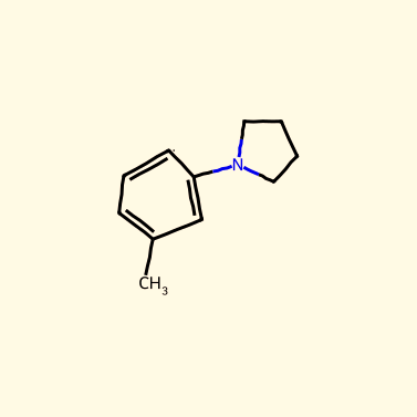 Cc1cc[c]c(N2CCCC2)c1